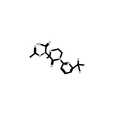 CC(=O)O[C@@H](C(=O)O)C1(C)OCCN(c2cccc(C(F)(F)F)n2)C1=O